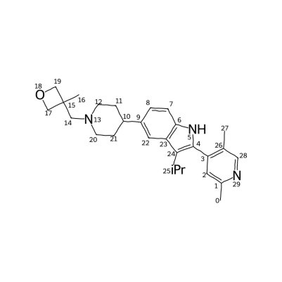 Cc1cc(-c2[nH]c3ccc(C4CCN(CC5(C)COC5)CC4)cc3c2C(C)C)c(C)cn1